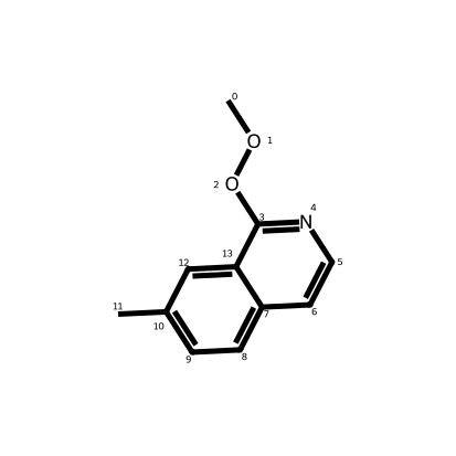 COOc1nccc2ccc(C)cc12